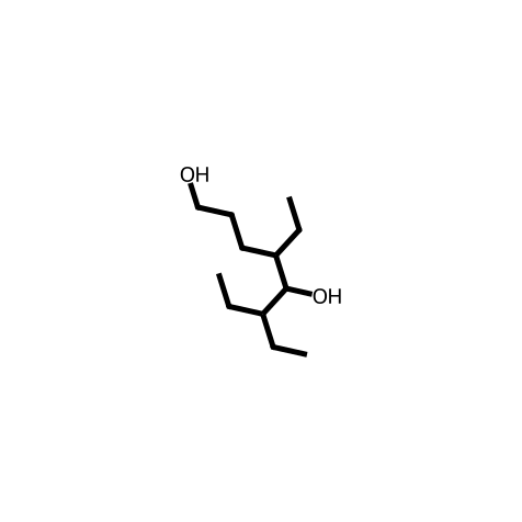 CCC(CC)C(O)C(CC)CCCO